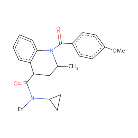 CCN(C(=O)C1CC(C)N(C(=O)c2ccc(OC)cc2)c2ccccc21)C1CC1